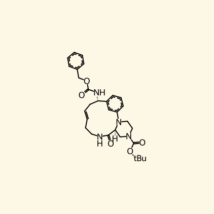 CC(C)(C)OC(=O)N1CCN2c3cccc(c3)[C@@H](NC(=O)OCc3ccccc3)C/C=C/CCNC(=O)[C@@H]2C1